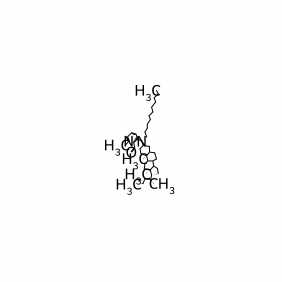 CCCCCCCCCCCCN(c1ccc[n+](C)c1C=O)C1CC[C@@]2(C)C(CCC3C2CC[C@@]2(C)C3CC[C@@H]2[C@H](C)CCC)C1